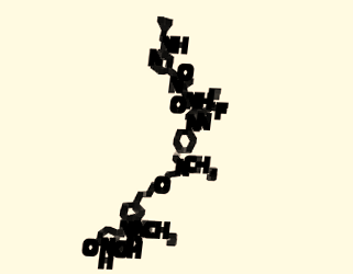 CN(CCOCCCc1ccc2c(c1)n(C)c(=O)n2C1CCC(=O)NC1O)C[C@H]1CC[C@H](n2cc(NC(=O)c3coc(-c4ccnc(NCC5CC5)c4)n3)c(C(F)F)n2)CC1